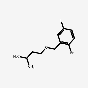 CC(C)CCOCc1cc(I)ccc1Br